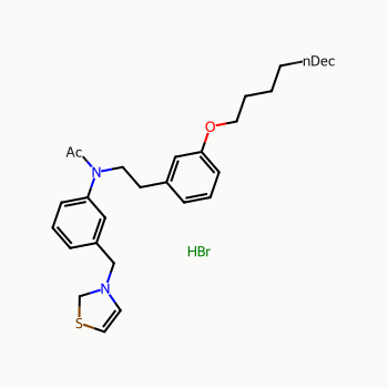 Br.CCCCCCCCCCCCCCOc1cccc(CCN(C(C)=O)c2cccc(CN3C=CSC3)c2)c1